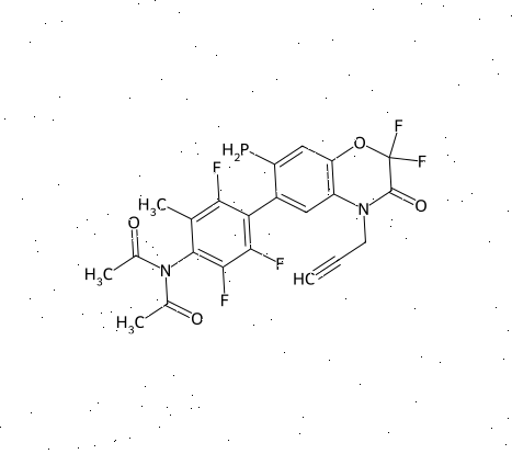 C#CCN1C(=O)C(F)(F)Oc2cc(P)c(-c3c(F)c(C)c(N(C(C)=O)C(C)=O)c(F)c3F)cc21